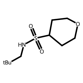 CC(C)(C)CNS(=O)(=O)C1CCOCC1